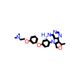 CC1OCc2c1c1ncnc(N)c1n2-c1ccc(Oc2cccc(OCCN(C)C)c2)cc1